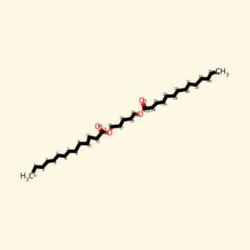 CCCCCCCCCCCCCC(=O)OCCCCCOC(=O)CCCCCCCCCCCCC